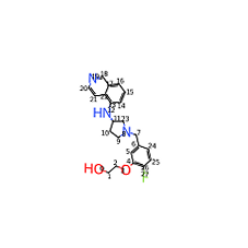 OCCOc1cc(CN2CC[C@@H](Nc3cccc4cnccc34)C2)ccc1F